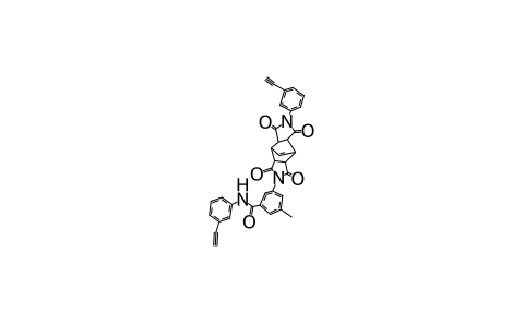 C#Cc1cccc(NC(=O)c2cc(C)cc(N3C(=O)C4C5C=CC(C6C(=O)N(c7cccc(C#C)c7)C(=O)C56)C4C3=O)c2)c1